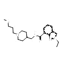 CCn1cc2cccc(C(=O)NCC3CCN(CCCOC)CC3)c2n1